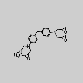 CC1OC1CN(CC1CO1)c1ccc(Cc2ccc(N(CC3CO3)CC3CO3)cc2)cc1